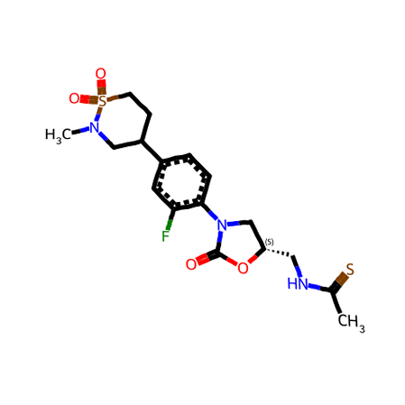 CC(=S)NC[C@H]1CN(c2ccc(C3CCS(=O)(=O)N(C)C3)cc2F)C(=O)O1